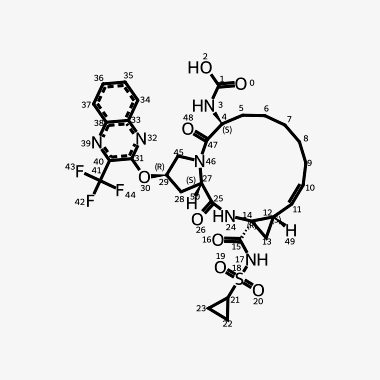 O=C(O)N[C@H]1CCCCCC=C[C@@H]2C[C@@]2(C(=O)NS(=O)(=O)C2CC2)NC(=O)[C@@H]2C[C@@H](Oc3nc4ccccc4nc3C(F)(F)F)CN2C1=O